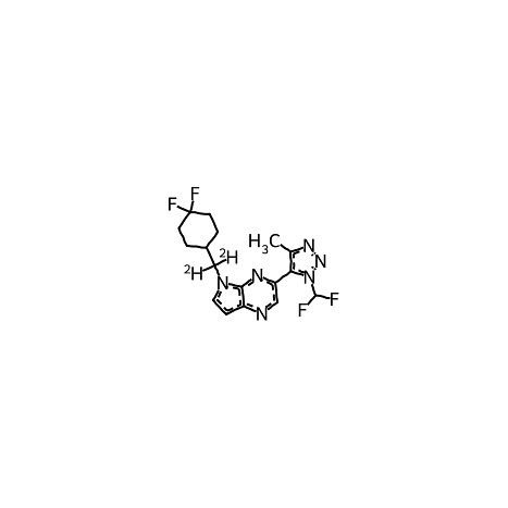 [2H]C([2H])(C1CCC(F)(F)CC1)n1ccc2ncc(-c3c(C)nnn3C(F)F)nc21